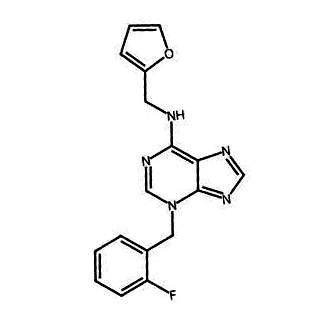 Fc1ccccc1Cn1cnc(NCc2ccco2)c2ncnc1-2